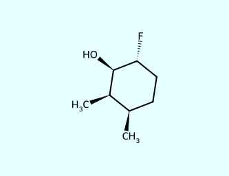 C[C@H]1[C@@H](O)[C@H](F)CC[C@H]1C